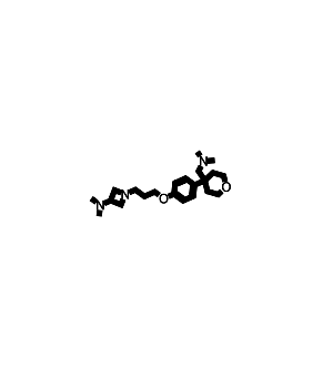 CN(C)CC1(c2ccc(OCCCN3CC(N(C)C)C3)cc2)CCOCC1